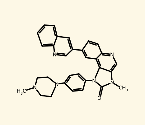 CN1CCN(c2ccc(-n3c(=O)n(C)c4cnc5ccc(-c6cnc7ccccc7c6)cc5c43)cc2)CC1